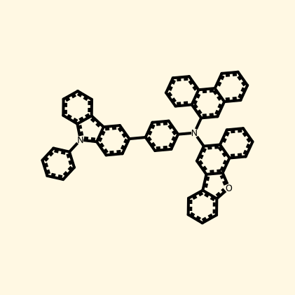 c1ccc(-n2c3ccccc3c3cc(-c4ccc(N(c5cc6ccccc6c6ccccc56)c5cc6c7ccccc7oc6c6ccccc56)cc4)ccc32)cc1